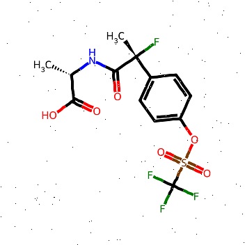 C[C@H](NC(=O)[C@](C)(F)c1ccc(OS(=O)(=O)C(F)(F)F)cc1)C(=O)O